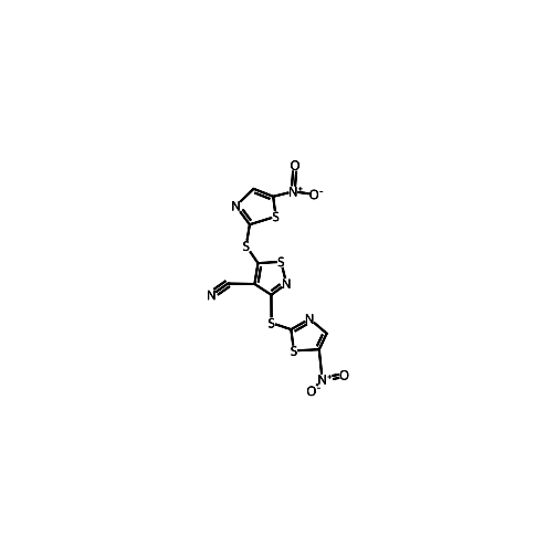 N#Cc1c(Sc2ncc([N+](=O)[O-])s2)nsc1Sc1ncc([N+](=O)[O-])s1